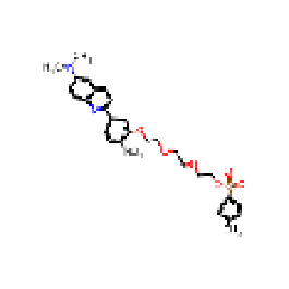 Cc1ccc(S(=O)(=O)OCCOCCOCCOc2cc(-c3ccc4cc(N(C)C)ccc4n3)ccc2[N+](=O)[O-])cc1